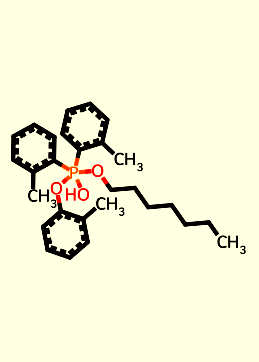 CCCCCCCOP(O)(Oc1ccccc1C)(c1ccccc1C)c1ccccc1C